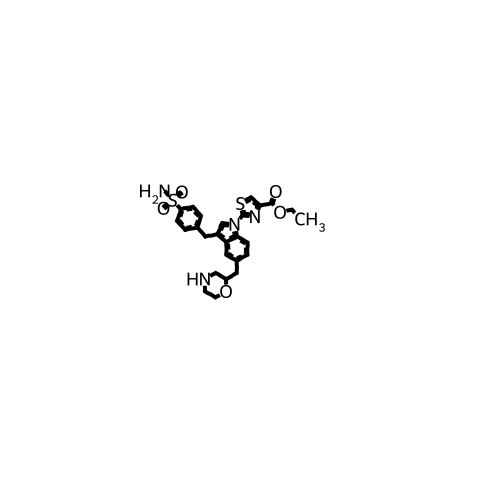 CCOC(=O)c1csc(-n2cc(Cc3ccc(S(N)(=O)=O)cc3)c3cc(CC4CNCCO4)ccc32)n1